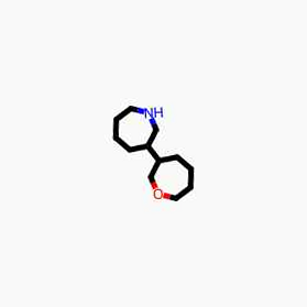 C1CCC(C2CCCCOC2)CNC1